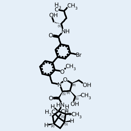 COc1c(CN2O[C@@H](CO)[C@@H]([C@H](C)O)[C@H]2C(=O)N[C@H]2C[C@H]3C[C@@H]([C@@H]2C)C3(C)C)cccc1-c1cc(Br)cc(C(=O)N[C@H](CO)CC(C)C)c1